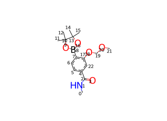 CNC(=O)c1ccc(B2OC(C)(C)C(C)(C)O2)c(OCOC)c1